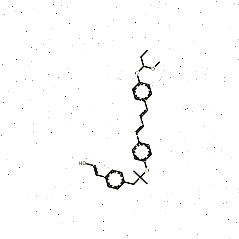 CCC(OC)Oc1ccc(C=CC=Cc2ccc(OC(C)(C)Cc3ccc(C=CO)cc3)cc2)cc1